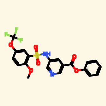 COc1ccc(OC(F)(F)F)cc1S(=O)(=O)Nc1cncc(C(=O)Oc2ccccc2)c1